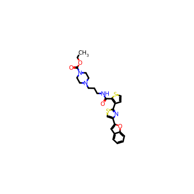 CCOC(=O)N1CCN(CCCNC(=O)c2sccc2-c2nc(-c3cc4ccccc4o3)cs2)CC1